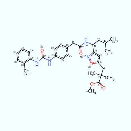 COC(=O)C(C)(C)Cc1cc(C(CC(C)C)NC(=O)Cc2ccc(NC(=O)Nc3ccccc3C)cc2)no1